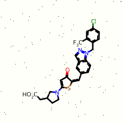 O=C(O)CC1CCN(C2=CC(=O)C(=Cc3ccc4c(cnn4Cc4ccc(Cl)cc4C(F)(F)F)c3)S2)C1